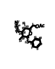 CC(=O)OCC1O[C@H](Sc2ccccc2)C(C)[C@@H](N=[N+]=[N-])[C@@H]1C